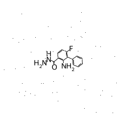 NNC(=O)c1ccc(F)c(-c2ccccc2)c1N